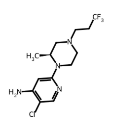 C[C@H]1CN(CCC(F)(F)F)CCN1c1cc(N)c(Cl)cn1